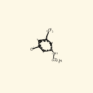 O=C(O)Nc1cc(Cl)cc(C(F)(F)F)c1